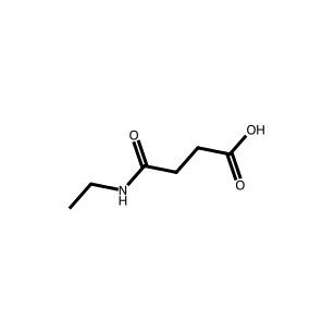 CCNC(=O)CCC(=O)O